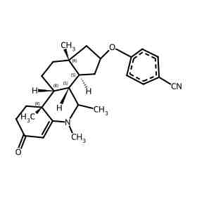 CC1[C@@H]2[C@@H](CC[C@]3(C)CC(Oc4ccc(C#N)cc4)C[C@@H]23)[C@@]2(C)CCC(=O)C=C2N1C